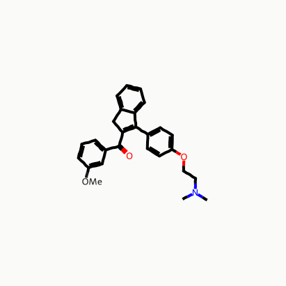 COc1cccc(C(=O)C2=C(c3ccc(OCCN(C)C)cc3)c3ccccc3C2)c1